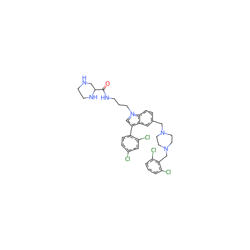 O=C(NCCCn1cc(-c2ccc(Cl)cc2Cl)c2cc(CN3CCN(Cc4c(Cl)cccc4Cl)CC3)ccc21)C1CNCCN1